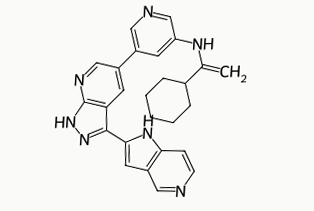 C=C(Nc1cncc(-c2cnc3[nH]nc(-c4cc5cnccc5[nH]4)c3c2)c1)C1CCCCC1